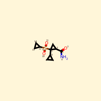 NC(=O)C1CC1(C1CC1)S(=O)(=O)C1CC1